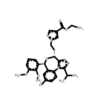 CCOC(=O)c1cnn(CC[C@H]2O[C@H](c3cccc(OC)c3OC)c3cc(Cl)ccc3-n3c(C(C)C)nnc32)c1